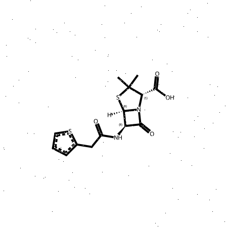 CC1(C)S[C@@H]2[C@H](NC(=O)Cc3cccs3)C(=O)N2[C@H]1C(=O)O